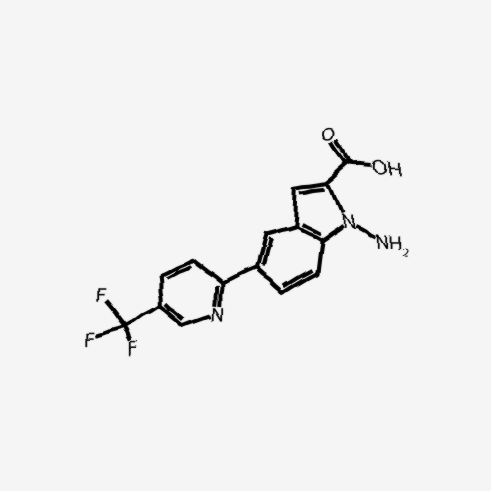 Nn1c(C(=O)O)cc2cc(-c3ccc(C(F)(F)F)cn3)ccc21